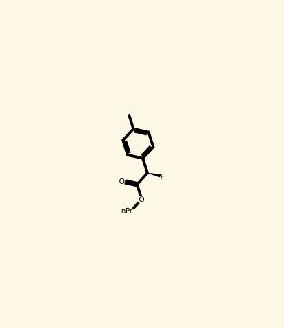 CCCOC(=O)[C@H](F)c1ccc(C)cc1